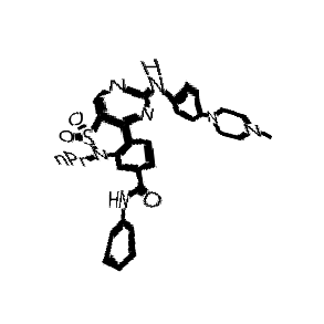 CCCN1c2cc(C(=O)Nc3ccccc3)ccc2-c2nc(Nc3ccc(N4CCN(C)CC4)cc3)ncc2S1(=O)=O